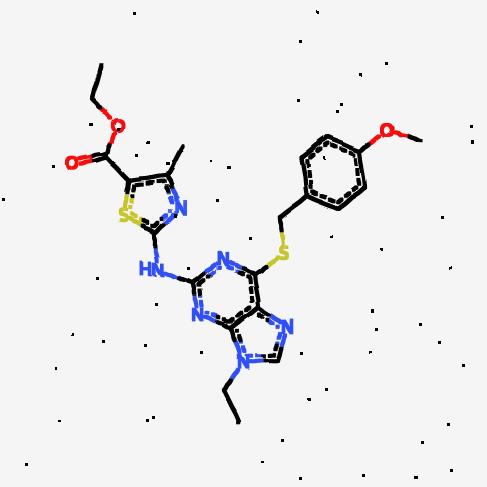 CCOC(=O)c1sc(Nc2nc(SCc3ccc(OC)cc3)c3ncn(CC)c3n2)nc1C